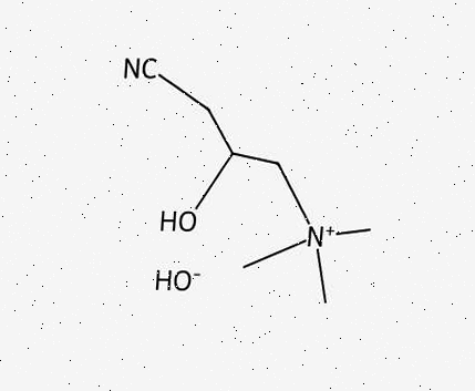 C[N+](C)(C)CC(O)CC#N.[OH-]